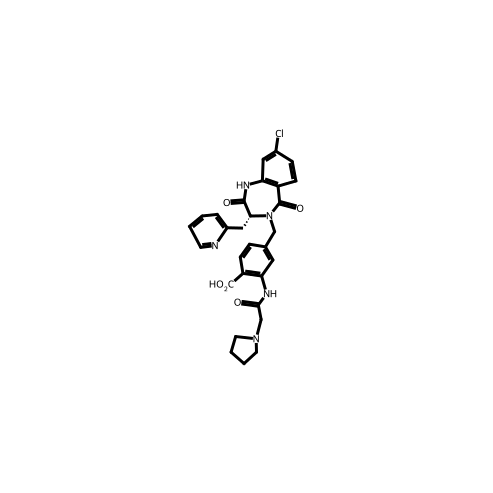 O=C(CN1CCCC1)Nc1cc(CN2C(=O)c3ccc(Cl)cc3NC(=O)[C@H]2Cc2ccccn2)ccc1C(=O)O